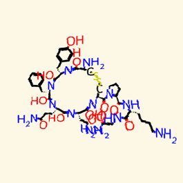 NCCCC[C@@H](NC(=O)[C@@H]1CCCN1C(=O)[C@@H]1CSSC[C@H](N)C(O)=N[C@@H](Cc2ccc(O)cc2)C(O)=N[C@@H](Cc2ccccc2)C(O)=N[C@@H](CCC(N)=O)C(O)=N[C@@H](CC(N)=O)C(O)=N1)C(=O)NCC(N)=O